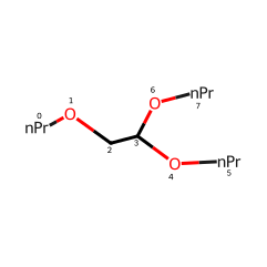 CCCOCC(OCCC)OCCC